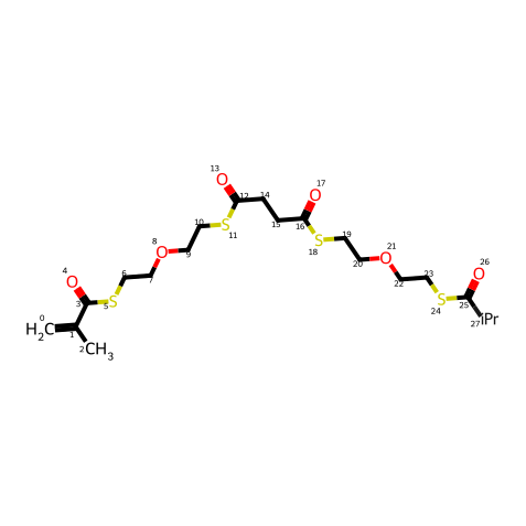 C=C(C)C(=O)SCCOCCSC(=O)CCC(=O)SCCOCCSC(=O)C(C)C